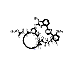 COc1ccccc1-c1csc(-c2cccc3c2nc(O[C@@H]2C[C@H]4C(=O)N[C@]5(C(=O)NS(=O)(=O)N(C)C)C[C@H]5/C=C\CCCCC[C@H](NC(=O)OC(C)(C)C)C(=O)N4C2)n3C(C)C)n1